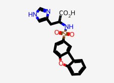 O=C(O)C(Cc1c[nH]cn1)NS(=O)(=O)c1ccc2oc3ccccc3c2c1